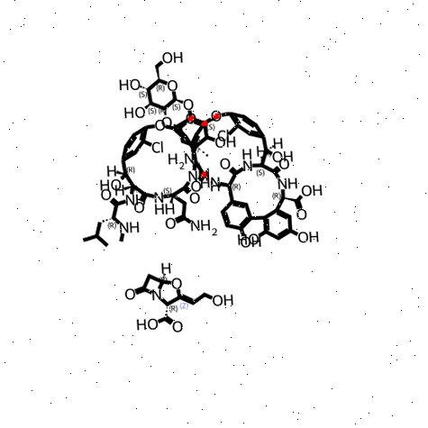 CN[C@H](CC(C)C)C(=O)N[C@H]1C(=O)N[C@@H](CC(N)=O)C(=O)N[C@H]2C(=O)N[C@H]3C(=O)N[C@H](C(=O)N[C@@H](C(=O)O)c4cc(O)cc(O)c4-c4cc3ccc4O)[C@H](O)c3ccc(c(Cl)c3)Oc3cc2cc(c3O[C@@H]2O[C@H](CO)[C@@H](O)[C@H](O)[C@H]2O[C@H]2C[C@](C)(N)C(O)[C@H](C)O2)Oc2ccc(cc2Cl)[C@H]1O.O=C(O)[C@H]1/C(=C/CO)O[C@@H]2CC(=O)N21